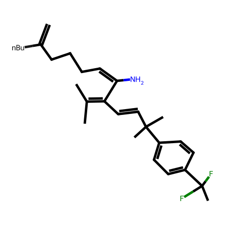 C=C(CCCC)CCC/C=C(/N)C(/C=C/C(C)(C)c1ccc(C(C)(F)F)cc1)=C(C)C